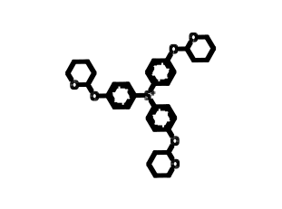 c1cc([S+](c2ccc(OC3CCCCO3)cc2)c2ccc(OC3CCCCO3)cc2)ccc1OC1CCCCO1